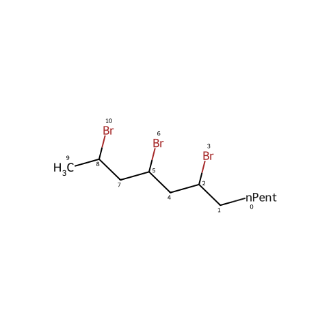 CCCCCCC(Br)CC(Br)CC(C)Br